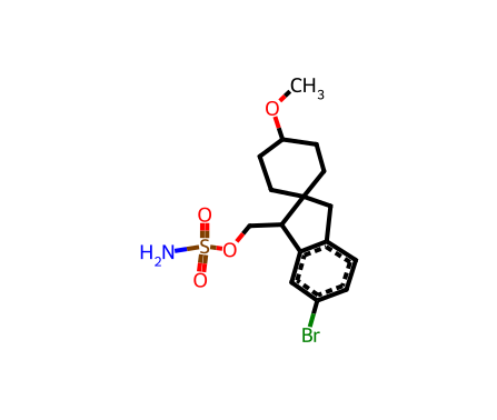 COC1CCC2(CC1)Cc1ccc(Br)cc1C2COS(N)(=O)=O